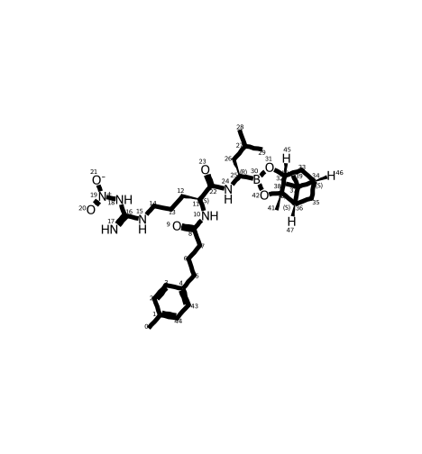 Cc1ccc(CCCC(=O)N[C@@H](CCCNC(=N)N[N+](=O)[O-])C(=O)N[C@@H](CC(C)C)B2O[C@@H]3C[C@@H]4C[C@@H](C4(C)C)[C@]3(C)O2)cc1